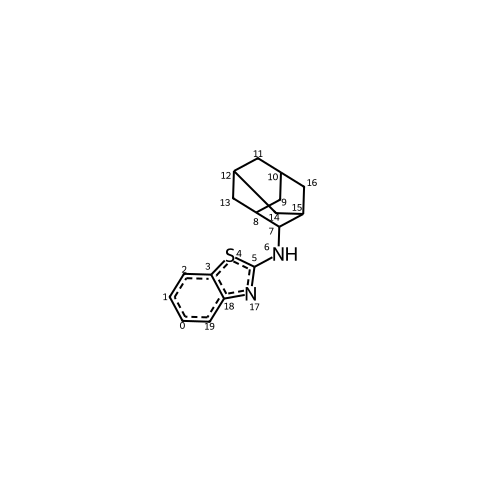 c1ccc2sc(NC3C4CC5CC(C4)CC3C5)nc2c1